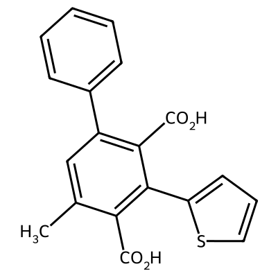 Cc1cc(-c2ccccc2)c(C(=O)O)c(-c2cccs2)c1C(=O)O